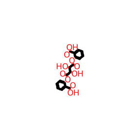 O=C(O)c1ccccc1OC(=O)C(O)C(O)C(=O)Oc1ccccc1C(=O)O